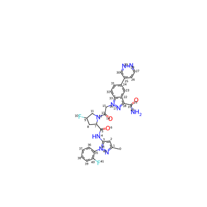 Cc1cc(NC(=O)C2CC(F)CN2C(=O)Cn2nc(C(N)=O)c3cc(-c4ccnnc4)ccc32)n(-c2ccccc2F)n1